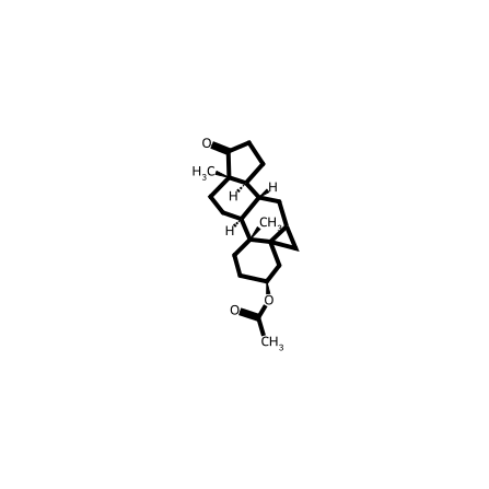 CC(=O)O[C@H]1CC[C@]2(C)[C@H]3CC[C@]4(C)C(=O)CC[C@H]4[C@@H]3CC3CC32C1